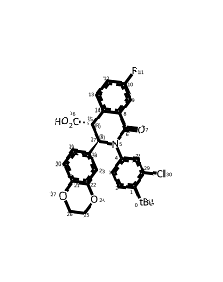 CC(C)(C)c1ccc(N2C(=O)c3cc(F)ccc3[C@@H](C(=O)O)[C@@H]2c2ccc3c(c2)OCCO3)cc1Cl